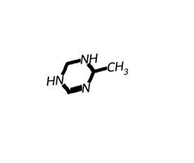 CC1N=CNCN1